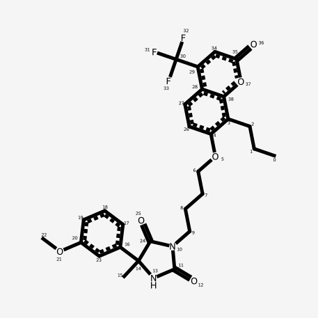 CCCc1c(OCCCCN2C(=O)NC(C)(c3cccc(OC)c3)C2=O)ccc2c(C(F)(F)F)cc(=O)oc12